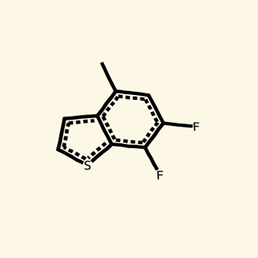 Cc1cc(F)c(F)c2sccc12